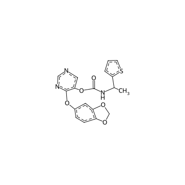 CC(NC(=O)Oc1cncnc1Oc1ccc2c(c1)OCO2)c1cccs1